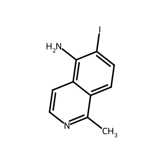 Cc1nccc2c(N)c(I)ccc12